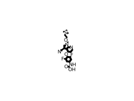 C[Si](C)(C)CCOCn1cc(C#N)c2c(Oc3c(F)cc(NC(=O)O)cc3F)ccnc21